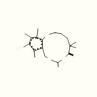 Cc1c(C)c2c(c(C)c1O)CCC(C)OC(=O)C(C)(C)CCCO2